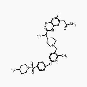 CCCCN(C(=O)Nc1cc(CC(N)=O)c(F)cc1F)C1CCN(Cc2ccc(Oc3ccc(S(=O)(=O)N4CCC(C(F)(F)F)CC4)cc3)nc2C)CC1